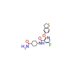 NC(=O)C1CCC(NC(=O)c2cc(F)cnc2Oc2ccc3c(c2)CCS3)CC1